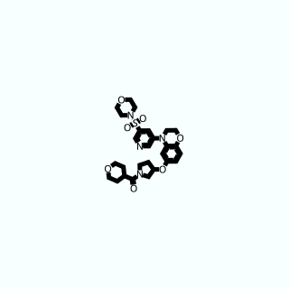 O=C(C1CCOCC1)N1CCC(Oc2ccc3c(c2)N(c2cncc(S(=O)(=O)N4CCOCC4)c2)CCO3)C1